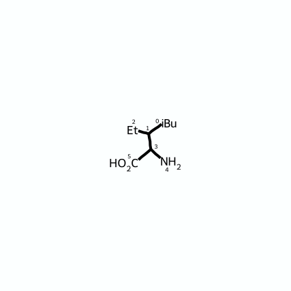 CCC(C)C(CC)C(N)C(=O)O